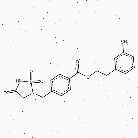 Cc1cccc(CCOC(=O)c2ccc(CN3CC(=O)NS3(=O)=O)cc2)c1